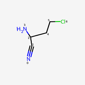 N#CC(N)CCCl